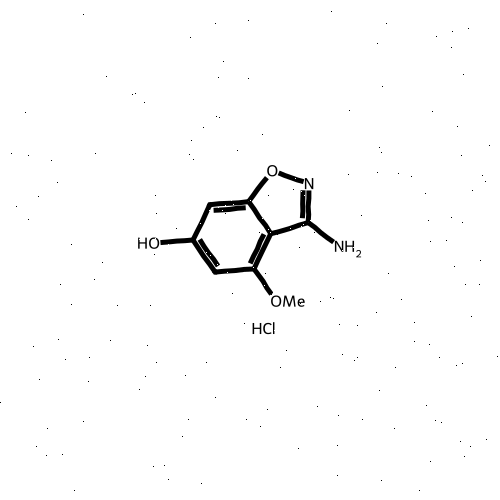 COc1cc(O)cc2onc(N)c12.Cl